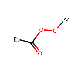 CCC(=O)OOC(C)=O